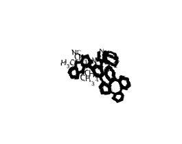 CC1(C)c2ccccc2C(C)(C)c2c1c(C#N)cc1c2c2cc(-c3cccc4c3-c3ccccc3-c3ccccc3-c3ccccc3-4)cc3c4c5c(ncc4n1c32)C1CC2CC(C1)CC5C2